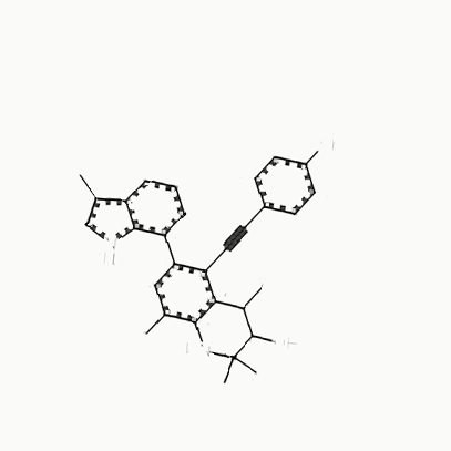 Cc1cc(-c2cccc3c(C)c[nH]c23)c(C#Cc2ccc(C(F)(F)F)cc2)c2c1NC(C)(C)C(O)C2C